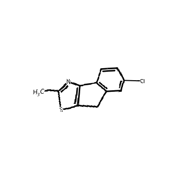 Cc1nc2c(s1)Cc1cc(Cl)ccc1-2